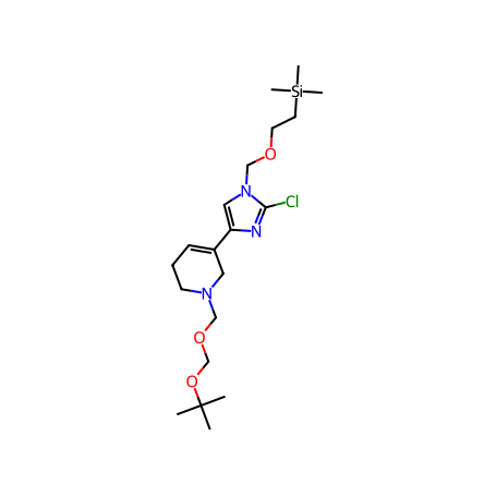 CC(C)(C)OCOCN1CCC=C(c2cn(COCC[Si](C)(C)C)c(Cl)n2)C1